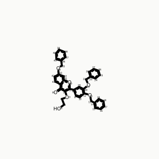 O=c1c(OCCO)c(-c2ccc(OCc3ccccc3)c(OCc3ccccc3)c2)oc2cc(OCc3ccccc3)ccc12